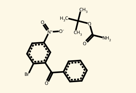 CC(C)(C)OC(N)=O.O=C(c1ccccc1)c1cc([N+](=O)[O-])ccc1Br